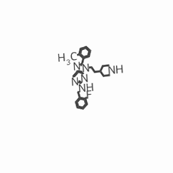 Cc1ccccc1-c1nc2cnc(NCc3ccccc3F)nc2n1CCC1CCNCC1